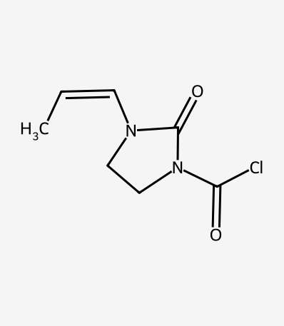 C/C=C\N1CCN(C(=O)Cl)C1=O